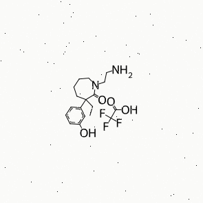 CCC1(c2cccc(O)c2)CCCCN(CCN)C1=O.O=C(O)C(F)(F)F